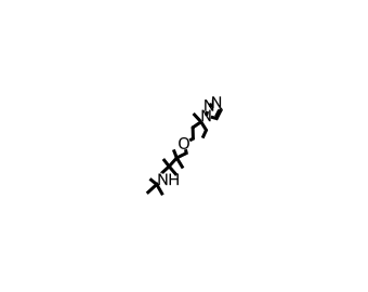 CCC(C)(CCOCC(C)(C)C(C)(C)CNC(C)(C)C)n1ccnn1